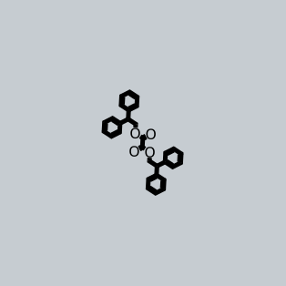 O=C(OCC(c1ccccc1)c1ccccc1)C(=O)OCC(c1ccccc1)c1ccccc1